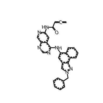 C=C=CC(=O)Nc1cc2c(Nc3cc4cn(Cc5ccccc5)nc4c4ccccc34)ncnc2cn1